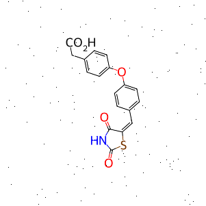 O=C(O)Cc1ccc(Oc2ccc(C=C3SC(=O)NC3=O)cc2)cc1